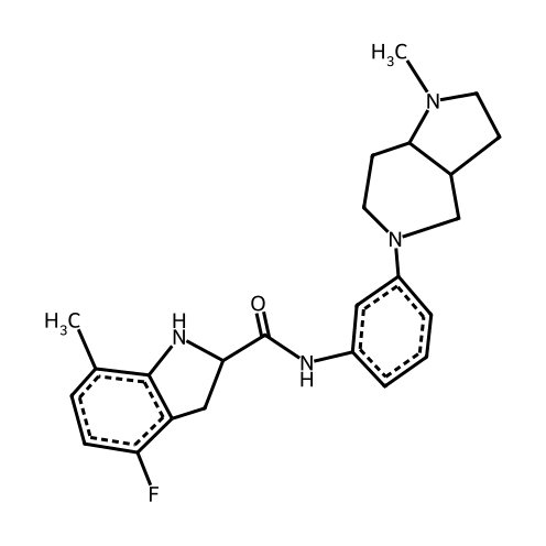 Cc1ccc(F)c2c1NC(C(=O)Nc1cccc(N3CCC4C(CCN4C)C3)c1)C2